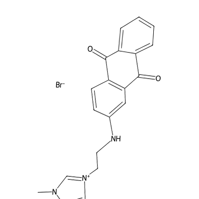 Cn1cc[n+](CCNc2ccc3c(c2)C(=O)c2ccccc2C3=O)c1.[Br-]